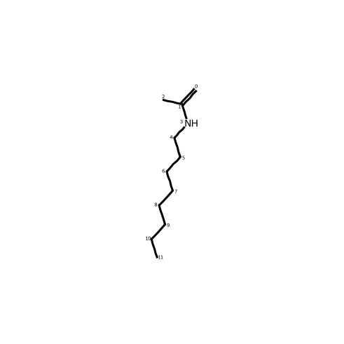 C=C(C)NCCCCCCCC